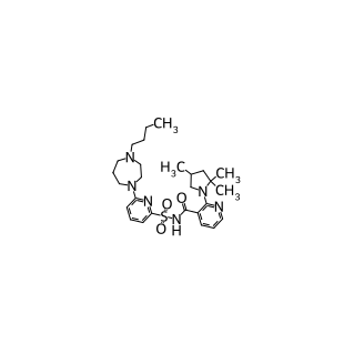 CCCCN1CCCN(c2cccc(S(=O)(=O)NC(=O)c3cccnc3N3CC(C)CC3(C)C)n2)CC1